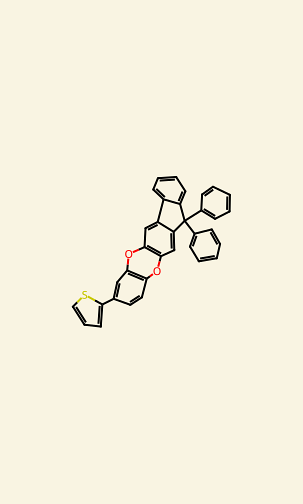 c1ccc(C2(c3ccccc3)c3ccccc3-c3cc4c(cc32)Oc2ccc(-c3cccs3)cc2O4)cc1